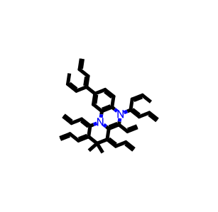 C=C/C=C1\C2=C(C=C)N(C(/C=C\C)=C/C=C)c3ccc(C(/C=C\C)=C/C=C)cc3N2C(=C/C=C)/C(=C\C=C)C1(C)C